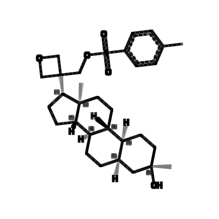 Cc1ccc(S(=O)(=O)OCC2([C@H]3CC[C@H]4[C@@H]5CC[C@@H]6C[C@](C)(O)CC[C@@H]6[C@H]5CC[C@]34C)COC2)cc1